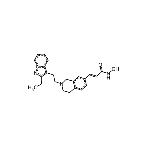 CCc1nn2ccccc2c1CCN1CCc2ccc(C=CC(=O)NO)cc2C1